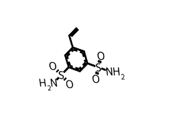 C=Cc1cc(S(N)(=O)=O)cc(S(N)(=O)=O)c1